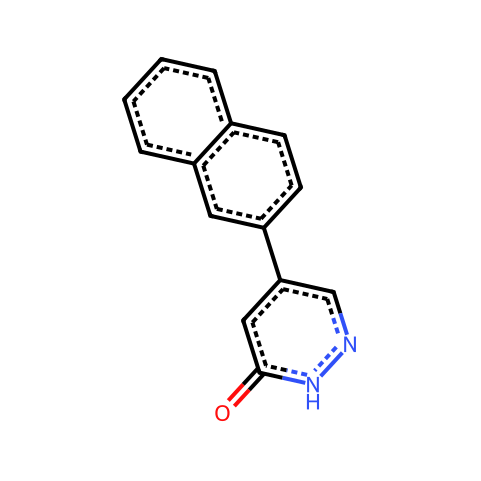 O=c1cc(-c2ccc3ccccc3c2)cn[nH]1